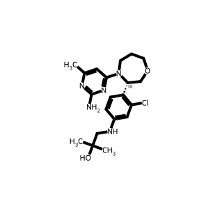 Cc1cc(N2CCCOC[C@@H]2c2ccc(NCC(C)(C)O)cc2Cl)nc(N)n1